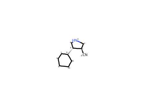 N#C[C@@H]1CNC[C@H]1C1CCCCC1